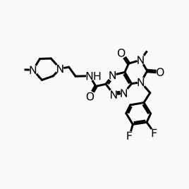 CN1CCN(CCNC(=O)c2nnc3c(n2)c(=O)n(C)c(=O)n3Cc2ccc(F)c(F)c2)CC1